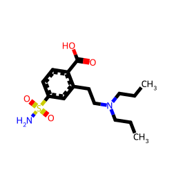 CCCN(CCC)CCc1cc(S(N)(=O)=O)ccc1C(=O)O